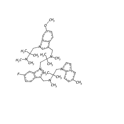 COc1ccc2c(CN(C)C(C)(C)Cn3cc(CN(C)C(C)(C)Cn4ccc5cc(C)ccc54)c4ccc(F)cc43)cn(CC(C)(C)N(C)C)c2c1